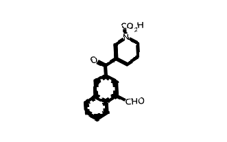 O=Cc1cc(C(=O)C2CCCN(C(=O)O)C2)cc2ccccc12